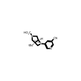 CC(C)(C)[C@]12CN(C(=O)O)C[C@H]1N(c1cncc(C#N)c1)C2